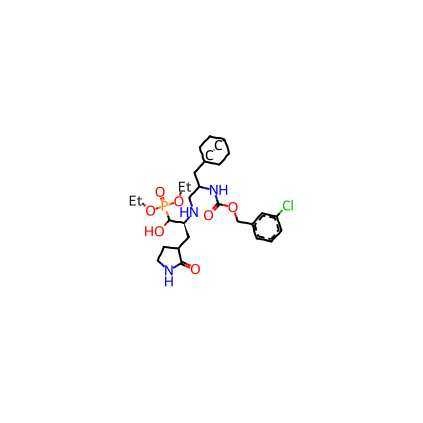 CCOP(=O)(OCC)C(O)[C@H](CC1CCNC1=O)NCC(CC12CCC(CC1)CC2)NC(=O)OCc1cccc(Cl)c1